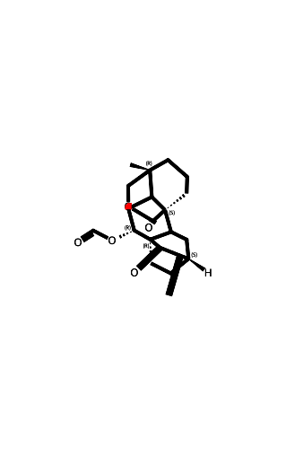 C=C1C(=O)[C@]23CC[C@H]1CC2[C@@]12CCC[C@@](C)(COC1=O)C2C[C@H]3OC=O